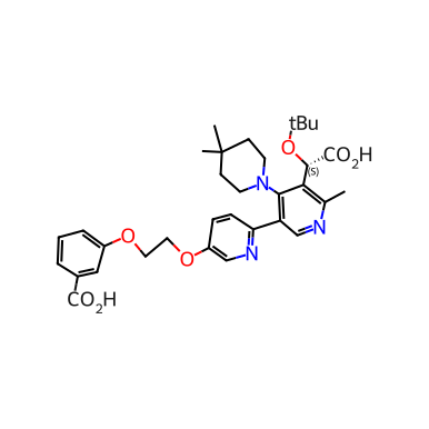 Cc1ncc(-c2ccc(OCCOc3cccc(C(=O)O)c3)cn2)c(N2CCC(C)(C)CC2)c1[C@H](OC(C)(C)C)C(=O)O